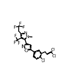 Cn1nc(CC(F)(F)F)c(C(F)(F)F)c1-c1cc(-c2ccc(Cl)c(CC=C(Cl)Cl)c2)on1